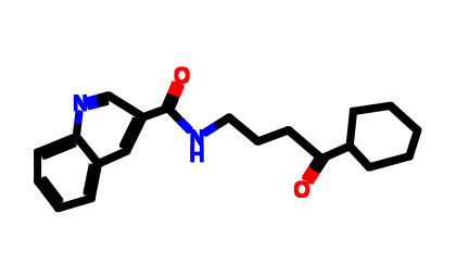 O=C(NCCCC(=O)C1CCCCC1)c1cnc2ccccc2c1